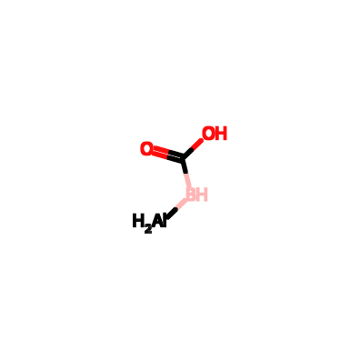 O=C(O)[BH][AlH2]